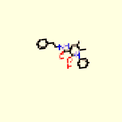 CC1=C(C)N(c2ccccc2)C(O)C(C(=O)NCCc2ccccc2)=C1